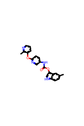 Cc1ccc2[nH]cc(OC(=O)Nc3ccc(Oc4cccnc4C)nc3)c2c1